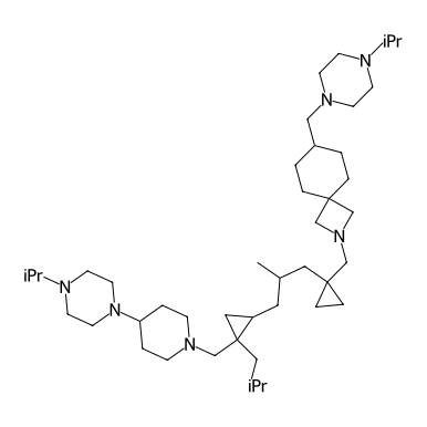 CC(C)CC1(CN2CCC(N3CCN(C(C)C)CC3)CC2)CC1CC(C)CC1(CN2CC3(CCC(CN4CCN(C(C)C)CC4)CC3)C2)CC1